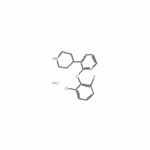 Cl.Fc1cccc(Cl)c1Oc1ncccc1C1CCNCC1